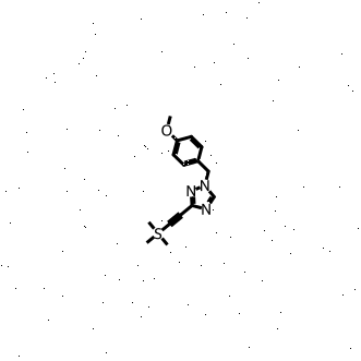 COc1ccc(Cn2cnc(C#CS(C)(C)C)n2)cc1